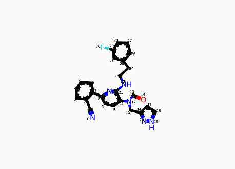 N#Cc1ccccc1-c1ccc(N(C=O)Cc2cc[nH]n2)c(NCCc2cccc(F)c2)n1